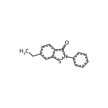 CCc1ccc2c(=O)n(-c3ccccc3)sc2c1